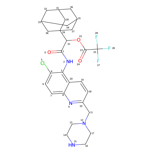 O=C(Nc1c(Cl)ccc2nc(CN3CCNCC3)ccc12)C(OC(=O)C(F)(F)F)C12CC3CC(CC(C3)C1)C2